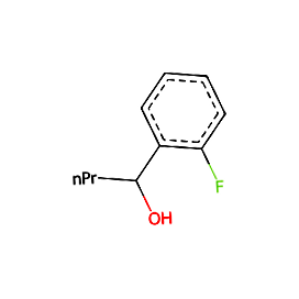 CCCC(O)c1ccccc1F